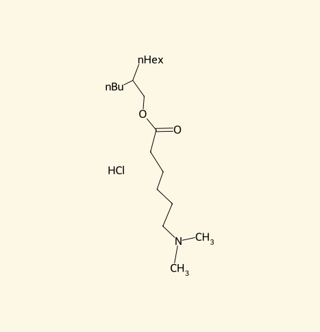 CCCCCCC(CCCC)COC(=O)CCCCCN(C)C.Cl